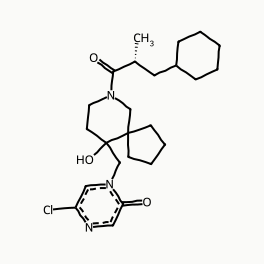 C[C@H](CC1CCCCC1)C(=O)N1CCC(O)(Cn2cc(Cl)ncc2=O)C2(CCCC2)C1